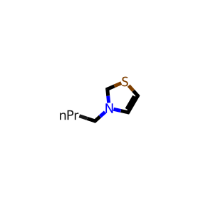 CCCCN1C=CSC1